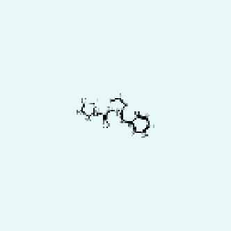 O=C(C1CCCN1Cc1ccccc1)N1CCCC1